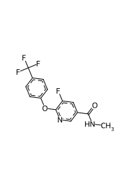 CNC(=O)c1cnc(Oc2ccc(C(F)(F)F)cc2)c(F)c1